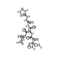 CC[C@H](C)NC(=O)CN(C(=O)CNCCN1CCCC1)C(=O)CNC1CC1